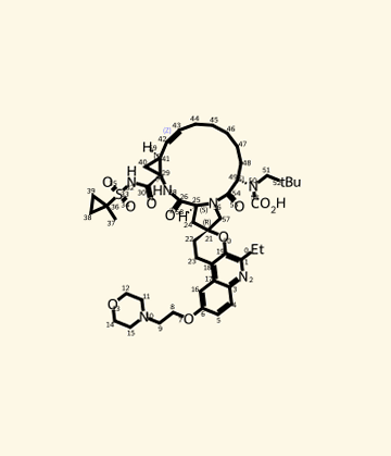 CCc1nc2ccc(OCCN3CCOCC3)cc2c2c1O[C@]1(CC2)C[C@H]2C(=O)N[C@]3(C(=O)NS(=O)(=O)C4(C)CC4)C[C@H]3/C=C\CCCCC[C@H](N(CC(C)(C)C)C(=O)O)C(=O)N2C1